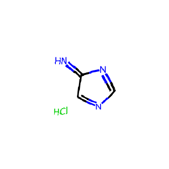 Cl.N=C1C=NC=N1